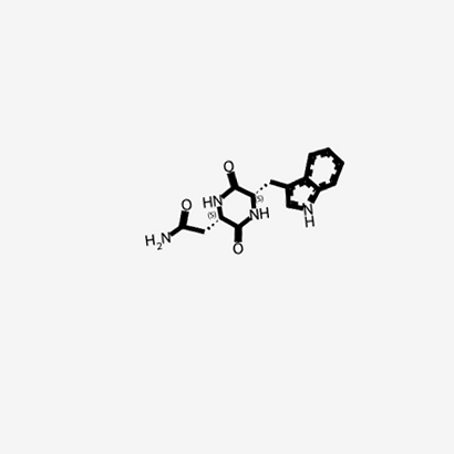 NC(=O)C[C@@H]1NC(=O)[C@H](Cc2c[nH]c3ccccc23)NC1=O